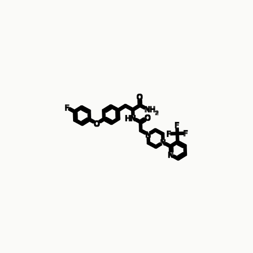 NC(=O)C(Cc1ccc(Oc2ccc(F)cc2)cc1)NC(=O)CN1CCN(c2ncccc2C(F)(F)F)CC1